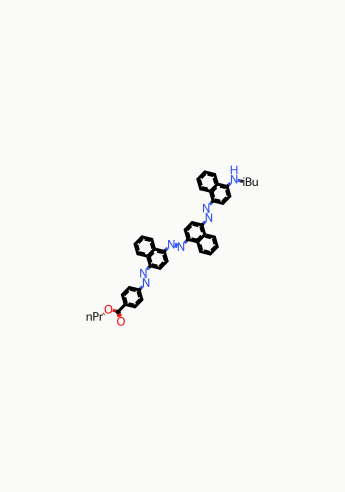 CCCOC(=O)c1ccc(/N=N/c2ccc(/N=N/c3ccc(/N=N/c4ccc(NC(C)CC)c5ccccc45)c4ccccc34)c3ccccc23)cc1